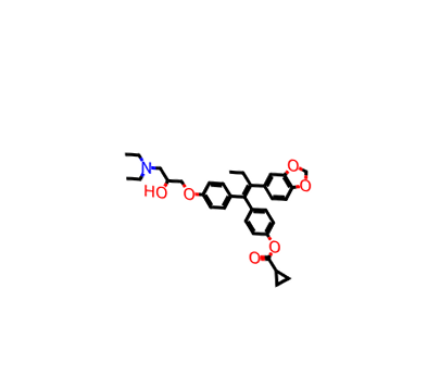 CCC(=C(c1ccc(OCC(O)CN(CC)CC)cc1)c1ccc(OC(=O)C2CC2)cc1)c1ccc2c(c1)OCO2